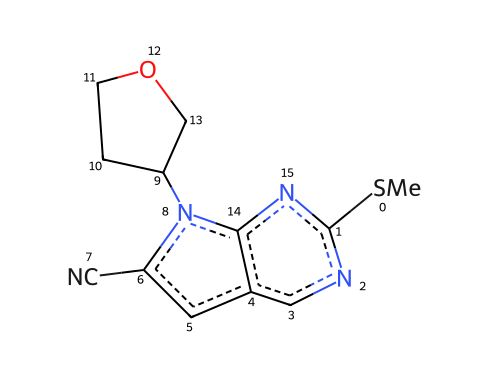 CSc1ncc2cc(C#N)n(C3CCOC3)c2n1